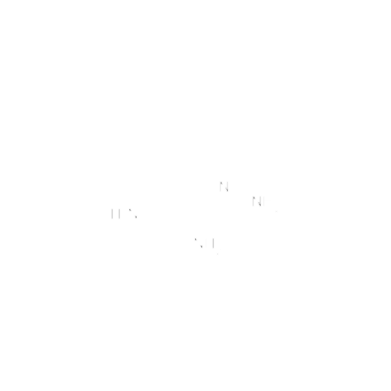 NC1=CC=CN(N)C1N